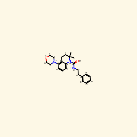 CC1(C)CCc2c(N3CCOCC3)cccc2N1C(=O)NCCc1ccccc1